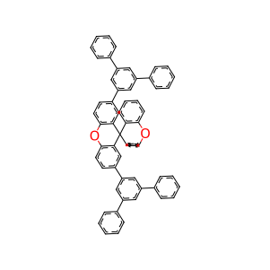 c1ccc(-c2cc(-c3ccccc3)cc(-c3ccc4c(c3)C3(c5ccccc5Oc5ccccc53)c3cc(-c5cc(-c6ccccc6)cc(-c6ccccc6)c5)ccc3O4)c2)cc1